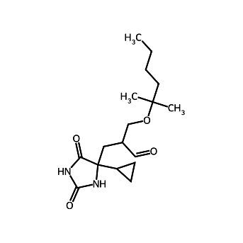 CCCCC(C)(C)OCC(C=O)CC1(C2CC2)NC(=O)NC1=O